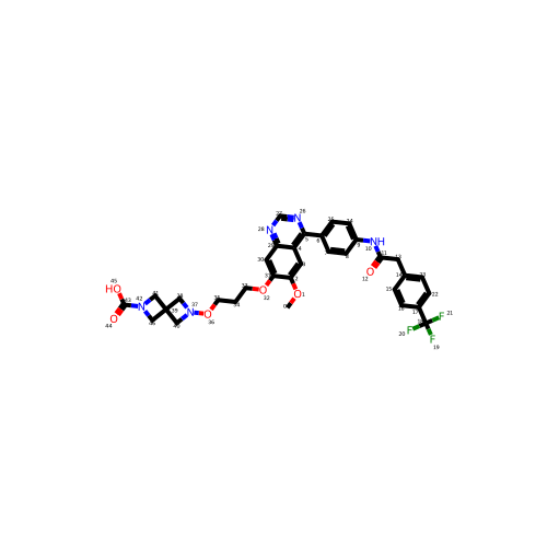 COc1cc2c(-c3ccc(NC(=O)Cc4ccc(C(F)(F)F)cc4)cc3)ncnc2cc1OCCCON1CC2(C1)CN(C(=O)O)C2